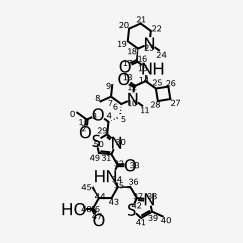 CC(=O)O[C@H](C[C@H](C(C)C)N(C)C(=O)[C@@H](NC(=O)[C@H]1CCCCN1C)C1CCC1)c1nc(C(=O)N[C@@H](Cc2nc(C)cs2)C[C@H](C)C(=O)O)cs1